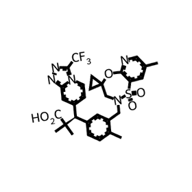 Cc1cnc2c(c1)S(=O)(=O)N(Cc1cc([C@H](c3ccn4c(C(F)(F)F)nnc4c3)C(C)(C)C(=O)O)ccc1C)CC1(CC1)O2